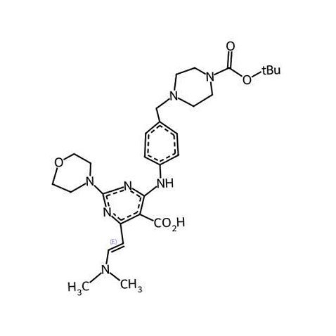 CN(C)/C=C/c1nc(N2CCOCC2)nc(Nc2ccc(CN3CCN(C(=O)OC(C)(C)C)CC3)cc2)c1C(=O)O